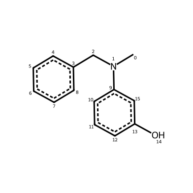 CN(Cc1ccccc1)c1cccc(O)c1